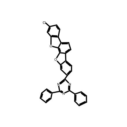 Clc1ccc2c(c1)oc1c2ccc2c3ccc(-c4nc(-c5ccccc5)nc(-c5ccccc5)n4)cc3oc21